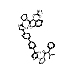 CN(C)[C@@H](C(=O)N1CCC[C@H]1c1ncc(-c2ccc(-c3ccc(-c4cnc([C@@H]5CCCN5C(=O)[C@H](OC(N)=O)c5ccccc5Cl)[nH]4)cc3)cc2)[nH]1)c1ccccc1